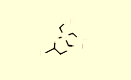 [Li][CH](CC)O[Si](CC)(CC)CC